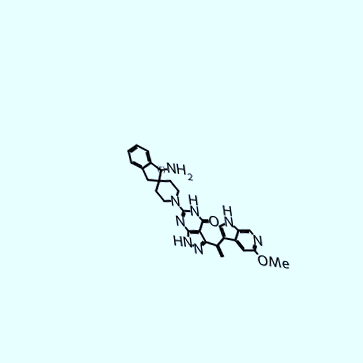 C=C(c1c[nH]c2cnc(OC)cc12)c1n[nH]c2nc(N3CCC4(CC3)Cc3ccccc3[C@H]4N)[nH]c(=O)c12